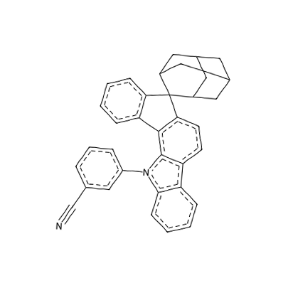 N#Cc1cccc(-n2c3ccccc3c3ccc4c(c32)-c2ccccc2C42C3CC4CC(C3)CC2C4)c1